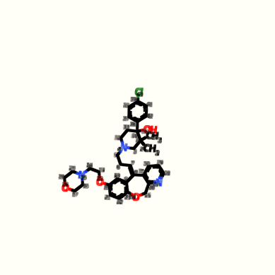 CC1(C)CN(CC/C=C2\c3cc(OCCN4CCOCC4)ccc3OCc3ncccc32)CCC1(O)c1ccc(Cl)cc1